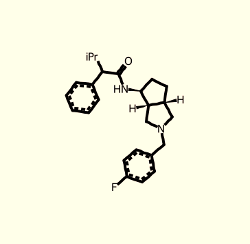 CC(C)C(C(=O)N[C@H]1CC[C@@H]2CN(Cc3ccc(F)cc3)C[C@@H]21)c1ccccc1